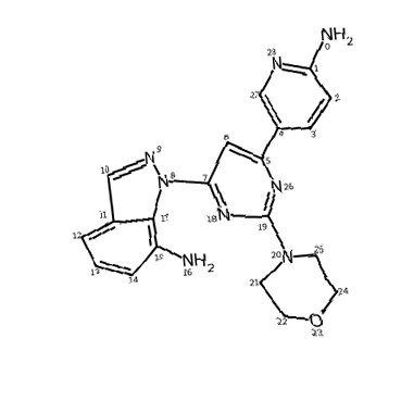 Nc1ccc(-c2cc(-n3ncc4cccc(N)c43)nc(N3CCOCC3)n2)cn1